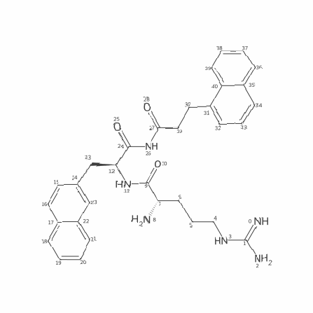 N=C(N)NCCC[C@H](N)C(=O)N[C@@H](Cc1ccc2ccccc2c1)C(=O)NC(=O)CCc1cccc2ccccc12